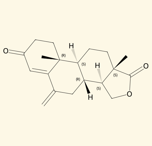 C=C1C[C@@H]2[C@H](CC[C@]3(C)C(=O)OC[C@@H]23)[C@@]2(C)CCC(=O)C=C12